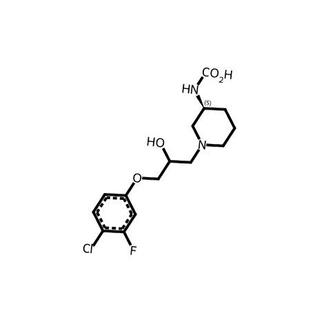 O=C(O)N[C@H]1CCCN(CC(O)COc2ccc(Cl)c(F)c2)C1